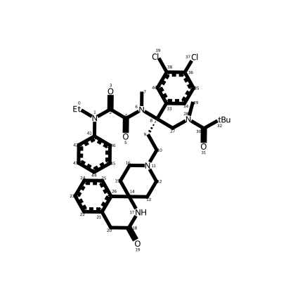 CCN(C(=O)C(=O)N(C)[C@](CCN1CCC2(CC1)NC(=O)Cc1ccccc12)(CN(C)C(=O)C(C)(C)C)c1ccc(Cl)c(Cl)c1)c1ccccc1